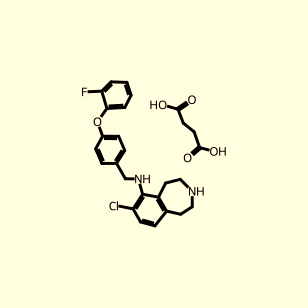 Fc1ccccc1Oc1ccc(CNc2c(Cl)ccc3c2CCNCC3)cc1.O=C(O)CCC(=O)O